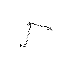 CCCCCCCCCCCC=C1OC(=O)C1CCCCCCCCCC